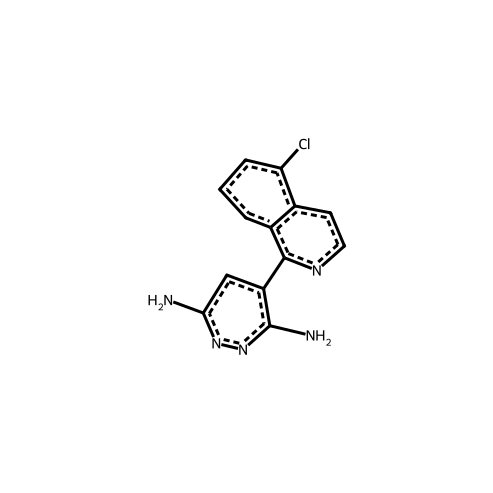 Nc1cc(-c2nccc3c(Cl)cccc23)c(N)nn1